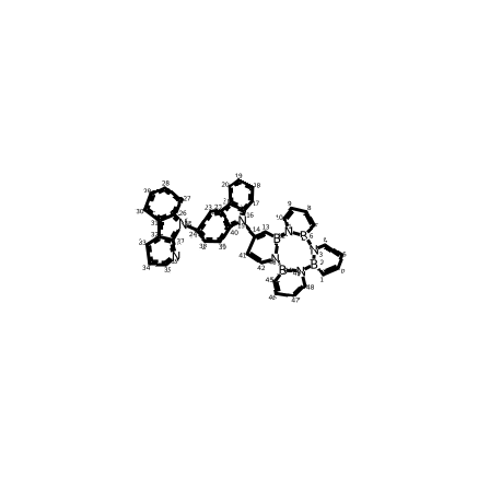 C1=CB2N(C=C1)B1C=CC=CN1B1C=C(n3c4ccccc4c4cc(-n5c6ccccc6c6cccnc65)ccc43)C=CN1B1C=CC=CN21